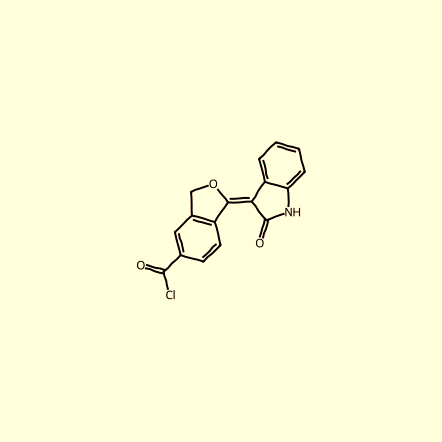 O=C1Nc2ccccc2C1=C1OCc2cc(C(=O)Cl)ccc21